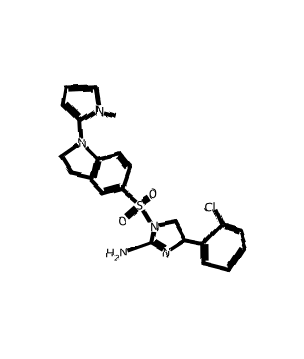 Cn1cccc1N1CCc2cc(S(=O)(=O)N3CC(c4ccccc4Cl)N=C3N)ccc21